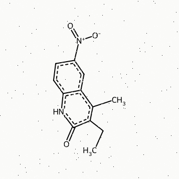 CCc1c(C)c2cc([N+](=O)[O-])ccc2[nH]c1=O